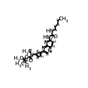 CCCCCNC(=O)Nc1ccc2ncc(-c3ccc(N(C)C(=O)OC(C)(C)C)s3)nc2n1